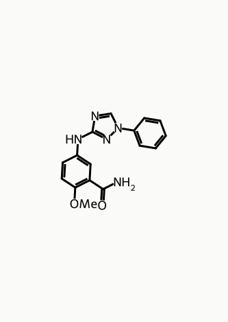 COc1ccc(Nc2ncn(-c3ccccc3)n2)cc1C(N)=O